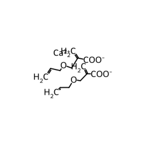 C=CCOCC(=C)C(=O)[O-].C=CCOCC(=C)C(=O)[O-].[Ca+2]